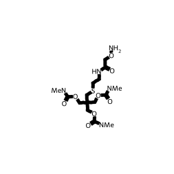 CNC(=O)OCC(COC(=O)NC)(COC(=O)NC)CSCCNC(=O)CON